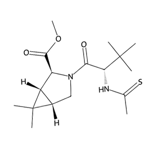 COC(=O)[C@@H]1[C@@H]2[C@H](CN1C(=O)[C@@H](NC(C)=S)C(C)(C)C)C2(C)C